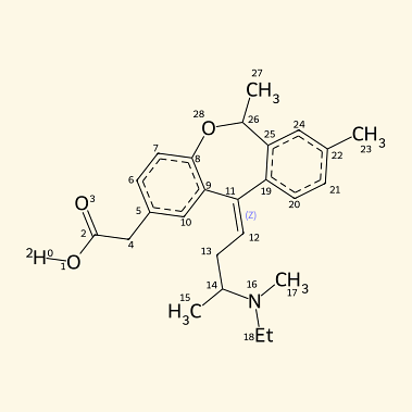 [2H]OC(=O)Cc1ccc2c(c1)/C(=C\CC(C)N(C)CC)c1ccc(C)cc1C(C)O2